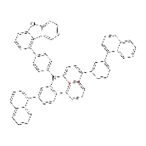 c1ccc(-c2ccc(-c3cccc4ccccc34)cc2N(c2ccc(-c3cccc(-c4cccc5ccccc45)c3)cc2)c2ccc(-c3cccc4oc5ccccc5c34)cc2)cc1